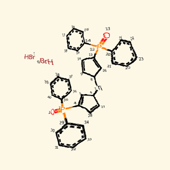 Br.Br.O=P(C1=C[CH]([Ti][CH]2C=CC(P(=O)(c3ccccc3)c3ccccc3)=C2)C=C1)(c1ccccc1)c1ccccc1